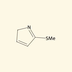 CSC1=NCC=C1